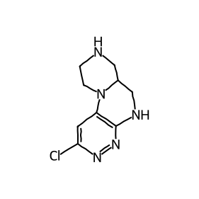 Clc1cc2c(nn1)NCC1CNCCN21